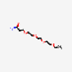 CCOCCOCCOCCOCCC(N)=O